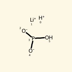 [H+].[Li+].[O-]P([O-])O